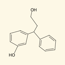 OCCC(c1ccccc1)c1cccc(O)c1